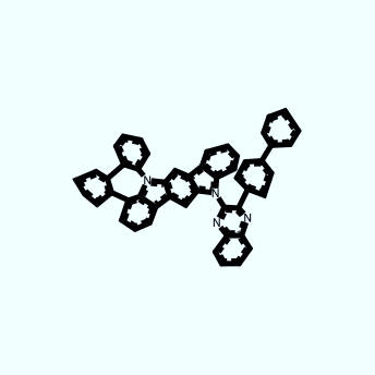 c1ccc(-c2ccc(-c3nc4ccccc4nc3-n3c4ccccc4c4cc5c(cc43)c3cccc4c3n5-c3ccccc3-c3ccccc3-4)cc2)cc1